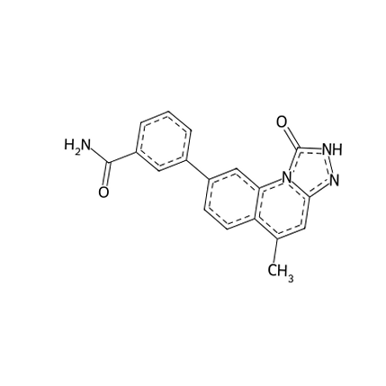 Cc1cc2n[nH]c(=O)n2c2cc(-c3cccc(C(N)=O)c3)ccc12